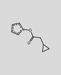 O=C(CC1CC1)On1cccc1